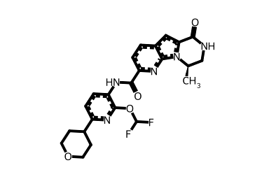 C[C@@H]1CNC(=O)c2cc3ccc(C(=O)Nc4ccc(C5CCOCC5)nc4OC(F)F)nc3n21